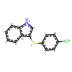 Clc1ccc(Sc2c[nH]c3ccccc23)cc1